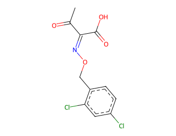 CC(=O)/C(=N/OCc1ccc(Cl)cc1Cl)C(=O)O